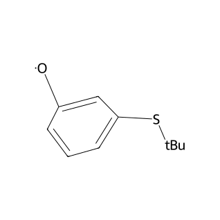 CC(C)(C)Sc1cccc([O])c1